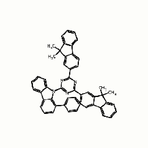 CC1(C)c2ccccc2-c2ccc(-c3nc(-c4ccc5c(c4)C(C)(C)c4ccccc4-5)nc(-n4c5ccccc5c5cccc(-c6ccccc6)c54)n3)cc21